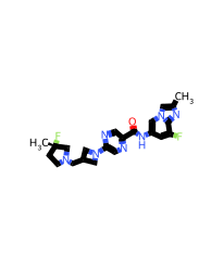 Cc1cn2cc(NC(=O)c3cnc(N4CC(CN5CC[C@](C)(F)C5)C4)cn3)cc(F)c2n1